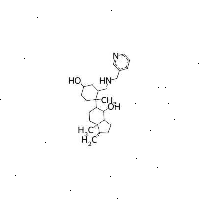 C=C1CCC2C(O)C(C3(C)CCC(O)CC3CNCc3cccnc3)CCC12C